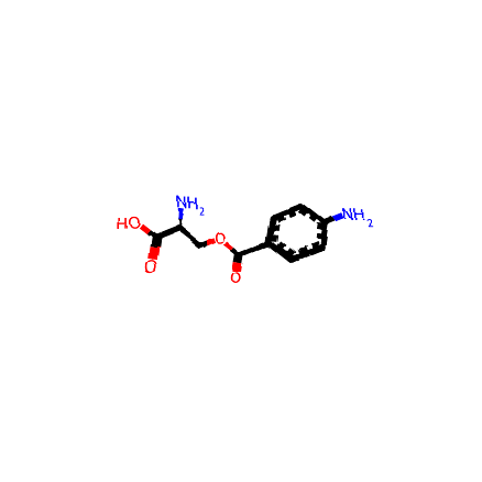 Nc1ccc(C(=O)OC[C@H](N)C(=O)O)cc1